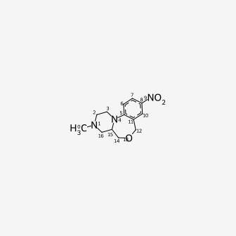 CN1CCN2c3ccc([N+](=O)[O-])cc3COCC2C1